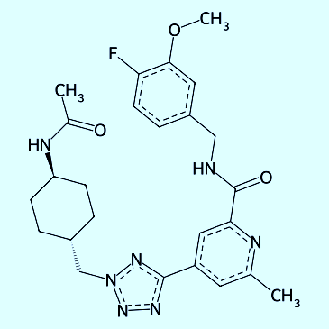 COc1cc(CNC(=O)c2cc(-c3nnn(C[C@H]4CC[C@H](NC(C)=O)CC4)n3)cc(C)n2)ccc1F